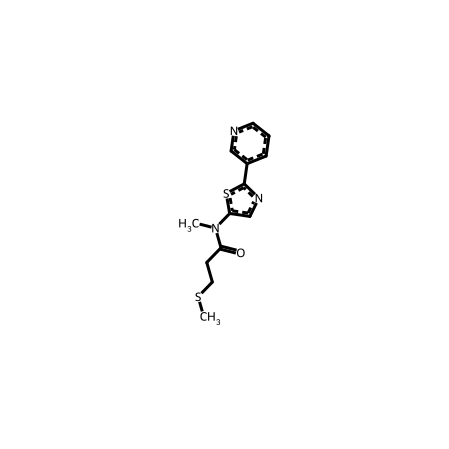 CSCCC(=O)N(C)c1cnc(-c2cccnc2)s1